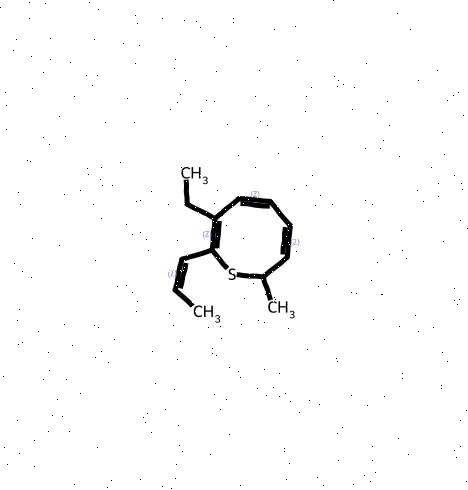 C\C=C/C1=C(CC)/C=C\C=C/C(C)S1